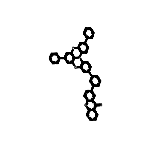 O=c1c2ccccc2oc2ccc(-c3cccc(-c4ccc5c(c4)Oc4cc(-c6ccccc6)cc6c4N5c4ccc(-c5ccccc5)cc4O6)c3)cc12